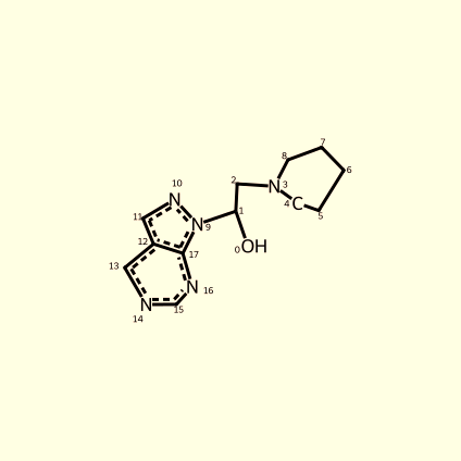 OC(CN1CCCCC1)n1ncc2cncnc21